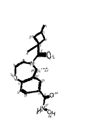 CC1CC(C)(C(=O)N2CCOc3ccc(C(=O)NO)cc3[C@H]2C)C1